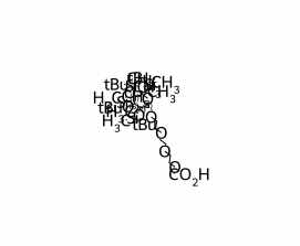 CC(C)(C)[Si](C)(C)OC1O[C@H](COCCOCCOCCOC(=O)O)[C@@H](O[Si](C)(C)C(C)(C)C)[C@H](O[Si](C)(C)C(C)(C)C)[C@@H]1O[Si](C)(C)C(C)(C)C